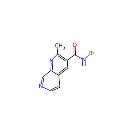 Cc1nc2cnccc2cc1C(=O)NBr